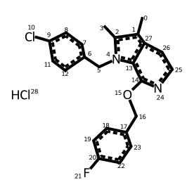 Cc1c(C)n(Cc2ccc(Cl)cc2)c2c(OCc3ccc(F)cc3)nccc12.Cl